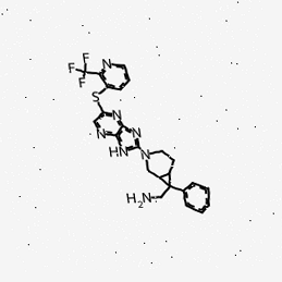 NCC1(c2ccccc2)C2CCN(c3nc4nc(Sc5cccnc5C(F)(F)F)cnc4[nH]3)CC21